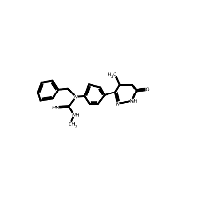 CNC(=N)N(Cc1ccccc1)c1ccc(C2=NNC(=O)CC2C)cc1